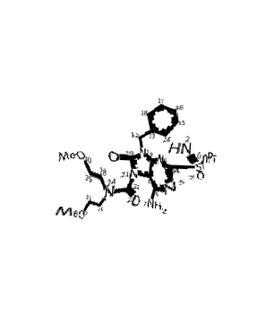 CCCS(=N)(=O)c1nc(N)c2c(n1)n(Cc1ccccc1)c(=O)n2C(=O)N(CCOC)CCOC